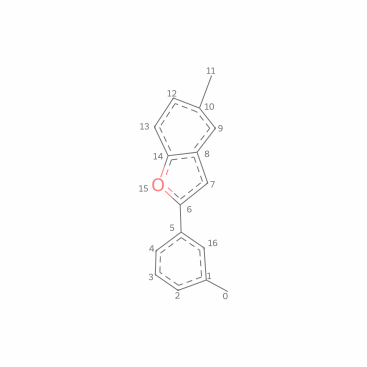 Cc1cccc(-c2cc3cc(C)ccc3o2)c1